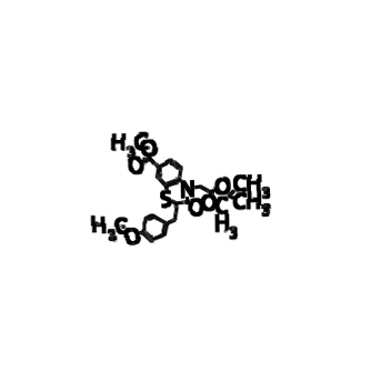 COC(=O)c1ccc2c(c1)SC(Cc1ccc(OC)cc1)C(=O)N2CC(=O)OC(C)(C)C